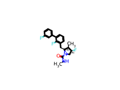 CNC(=O)N1C[C@H](F)[C@H](C)[C@@H]1Cc1cccc(-c2cccc(F)c2)c1F